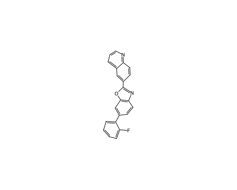 Fc1ccccc1-c1ccc2nc(-c3ccc4ncccc4c3)oc2c1